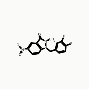 Cn1c(=O)c2cc([N+](=O)[O-])ccc2n1Cc1ccc(F)c(F)c1